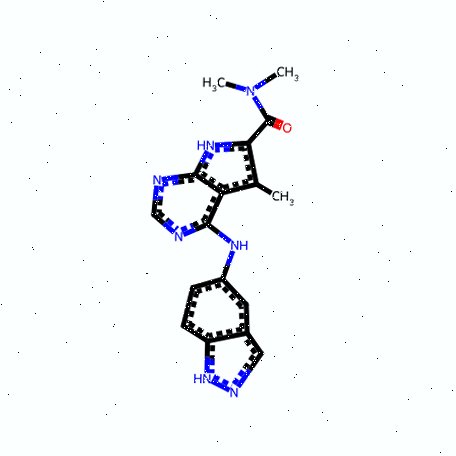 Cc1c(C(=O)N(C)C)[nH]c2ncnc(Nc3ccc4[nH]ncc4c3)c12